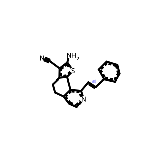 N#Cc1c(N)sc2c1CCc1ccnc(/C=C/c3ccccc3)c1-2